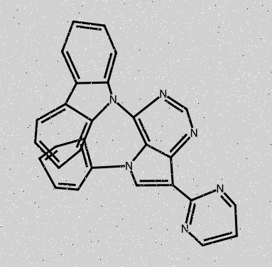 c1ccc(-n2cc(-c3ncccn3)c3ncnc(-n4c5ccccc5c5ccccc54)c32)cc1